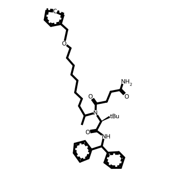 CC(CCCCCCCCOCc1ccccc1)N(C(=O)CCC(N)=O)[C@H](C(=O)NC(c1ccccc1)c1ccccc1)C(C)(C)C